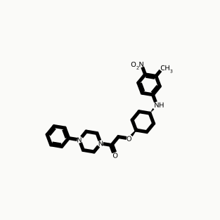 Cc1cc(N[C@H]2CC[C@H](OCC(=O)N3CCN(c4ccccc4)CC3)CC2)ccc1[N+](=O)[O-]